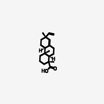 C=C[C@]1(C)C=C2CC[C@@H]3[C@](C)(CCC[C@@]3(C)C(=O)O)[C@H]2CC1